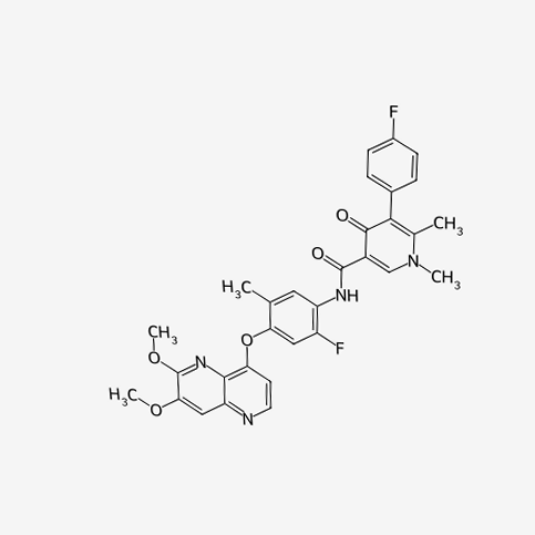 COc1cc2nccc(Oc3cc(F)c(NC(=O)c4cn(C)c(C)c(-c5ccc(F)cc5)c4=O)cc3C)c2nc1OC